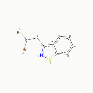 BrC(Br)Cc1nsc2ccccc12